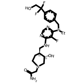 CCN(Cc1ccc(C(F)(F)CO)cc1)c1ncnc(NC[C@@H]2CCN(CC(N)=O)C[C@H]2O)c1F